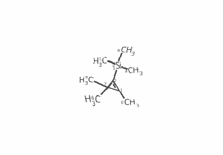 CC1=C([Si](C)(C)C)C1(C)C